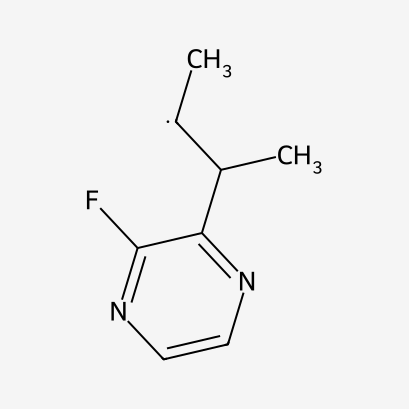 C[CH]C(C)c1nccnc1F